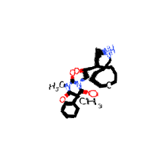 CN1C(=O)N(CC(=O)C2CCNCC23CCCCCCC3)C(=O)C(C)(C2=CCCCC2)C1=O